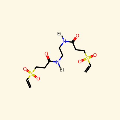 C=CS(=O)(=O)CCC(=O)N(CC)CCN(CC)C(=O)CCS(=O)(=O)C=C